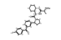 CNC(C)C(=O)N[C@H](C(=O)N1CCCC1c1ccnc(C(=O)c2ccc(F)cc2)c1)C1CCCCC1